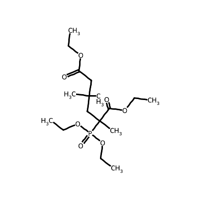 CCOC(=O)CC(C)(C)CC(C)(C(=O)OCC)P(=O)(OCC)OCC